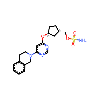 NS(=O)(=O)OC[C@H]1CC[C@H](Oc2cc(N3CCc4ccccc4C3)ncn2)C1